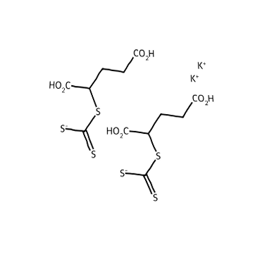 O=C(O)CCC(SC(=S)[S-])C(=O)O.O=C(O)CCC(SC(=S)[S-])C(=O)O.[K+].[K+]